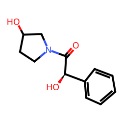 O=C([C@H](O)c1ccccc1)N1CCC(O)C1